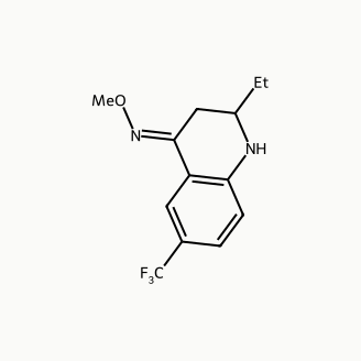 CCC1CC(=NOC)c2cc(C(F)(F)F)ccc2N1